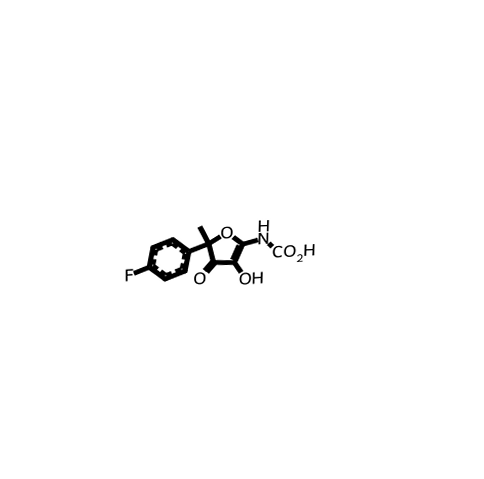 CC1(c2ccc(F)cc2)OC(NC(=O)O)=C(O)C1=O